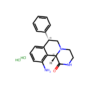 Cl.Cl.Nc1cccc2c1[C@H]1C(=O)NCCN1C[C@H]2c1ccccc1